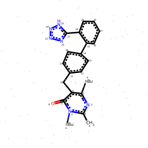 CCCCc1nc(C)n(CCCC)c(=O)c1Cc1ccc(-c2ccccc2-c2nnn[nH]2)cc1